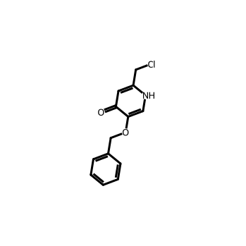 O=c1cc(CCl)[nH]cc1OCc1ccccc1